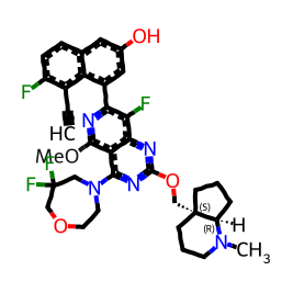 C#Cc1c(F)ccc2cc(O)cc(-c3nc(OC)c4c(N5CCOCC(F)(F)C5)nc(OC[C@]56CCC[C@H]5N(C)CCC6)nc4c3F)c12